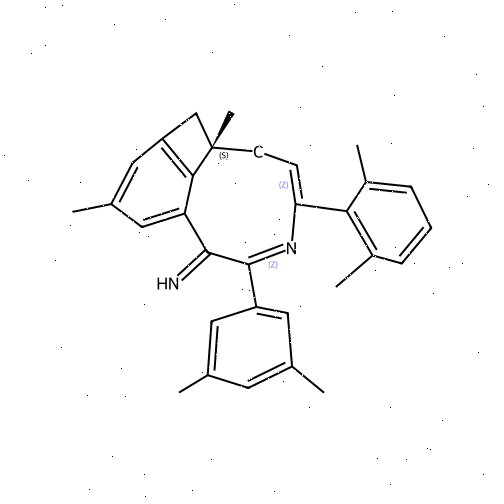 Cc1cc(C)cc(/C2=N/C(c3c(C)cccc3C)=C\C[C@@]3(C)Cc4cc(C)cc(c43)C2=N)c1